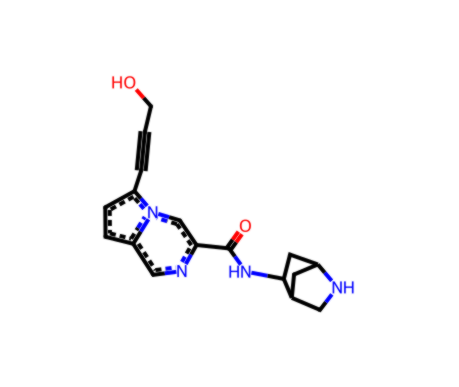 O=C(NC1CC2CC1CN2)c1cn2c(C#CCO)ccc2cn1